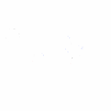 CCCCC1(CCCC)NC(=N)N(C2CCN(C(=O)CCc3ccccc3)CC2)C1=O